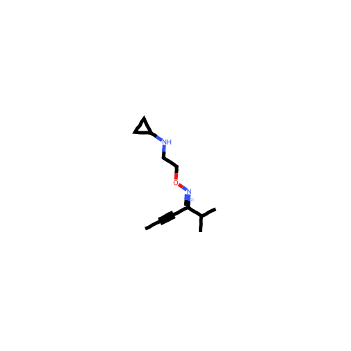 CC#C/C(=N\OCCNC1CC1)C(C)C